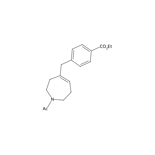 CCOC(=O)c1ccc(CC2=CCCN(C(C)=O)CC2)cc1